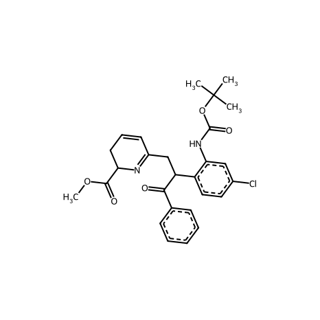 COC(=O)C1CC=CC(CC(C(=O)c2ccccc2)c2ccc(Cl)cc2NC(=O)OC(C)(C)C)=N1